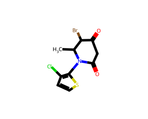 CC1C(Br)C(=O)CC(=O)N1c1sccc1Cl